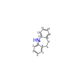 [c]1ccc2c(c1)CCc1ccccc1N2